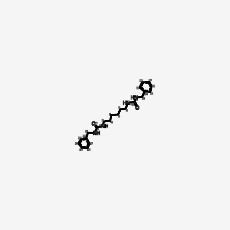 O=C(NCCCCCCNC(=O)NCc1ccccc1)NCc1ccccc1